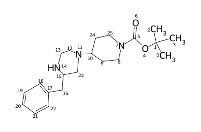 CC(C)(C)OC(=O)N1CCC(N2CCNC(Cc3ccccc3)C2)CC1